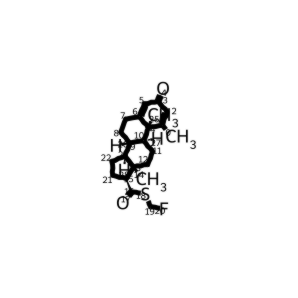 CC1=CC(=O)C=C2CC[C@@H]3[C@H](CC[C@]4(C)[C@@H](C(=O)SCF)CC[C@@H]34)[C@@]12C